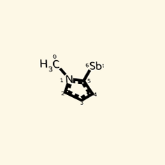 Cn1ccc[c]1[Sb]